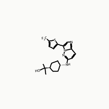 CC(C)(O)[C@H]1CC[C@H](Nc2ccc3ncc(-c4ccc(C(F)(F)F)s4)n3n2)CC1